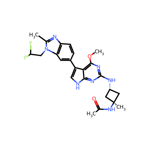 COc1nc(N[C@H]2C[C@](C)(NC(C)=O)C2)nc2[nH]cc(-c3ccc4nc(C)n(CC(F)F)c4c3)c12